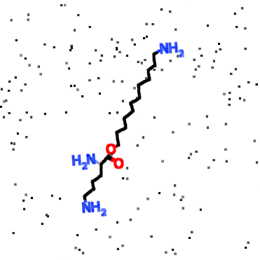 NCCCCCCCCCCCCOC(=O)[C@@H](N)CCCCN